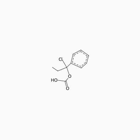 CCC(Cl)(OC(=O)O)c1ccccc1